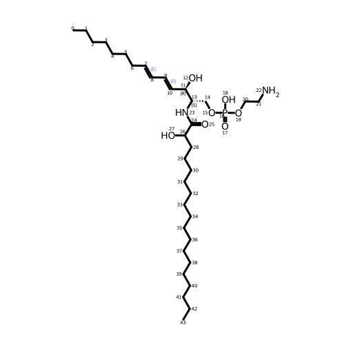 CCCCCCC/C=C/C=C/[C@@H](O)[C@H](COP(=O)(O)OCCN)NC(=O)C(O)CCCCCCCCCCCCCCCC